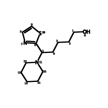 OCCCCC(c1nccs1)N1CCCCC1